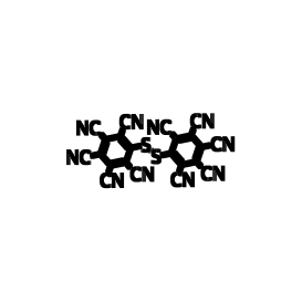 N#Cc1c(C#N)c(C#N)c(SSc2c(C#N)c(C#N)c(C#N)c(C#N)c2C#N)c(C#N)c1C#N